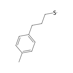 Cc1ccc(CCC[S])cc1